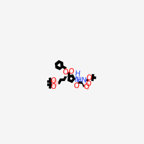 COC[C@H](NC(=O)OC(C)(C)C)C(=O)N[C@H]1CC[C@@](CCCCB2OC(C)(C)C(C)(C)O2)(C(=O)OCc2ccccc2)C1